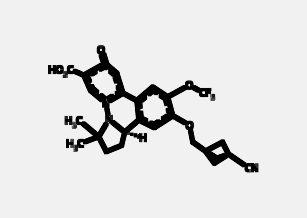 CC1(C)CC[C@@H]2c3cc(OCC45CC(C#N)(C4)C5)c(OC(F)(F)F)cc3-c3cc(=O)c(C(=O)O)cn3N21